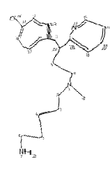 CN(CCCCCN)CCC(c1ccc(Cl)cc1)c1ccccn1